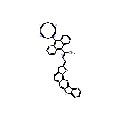 C/C(=C\C=C1/Cc2ccc3cc4oc5ccccc5c4cc3c2O1)c1c2ccccc2c(/C2=C/C=C\C/C=C\C=C/C2)c2ccccc12